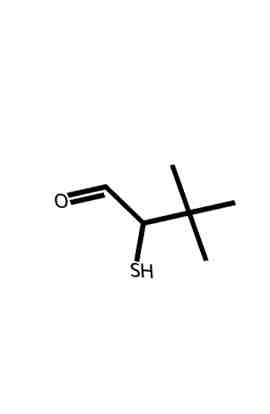 CC(C)(C)C(S)C=O